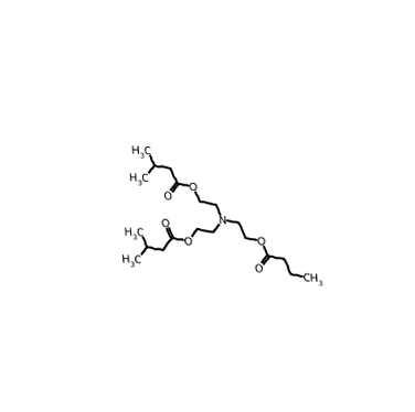 CCCC(=O)OCCN(CCOC(=O)CC(C)C)CCOC(=O)CC(C)C